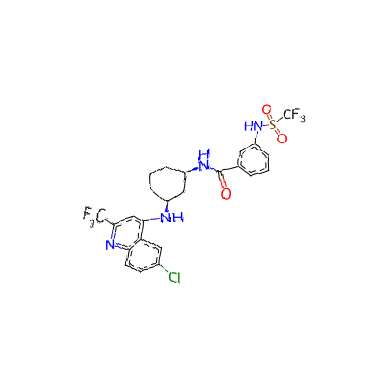 O=C(N[C@@H]1CCC[C@H](Nc2cc(C(F)(F)F)nc3ccc(Cl)cc23)C1)c1cccc(NS(=O)(=O)C(F)(F)F)c1